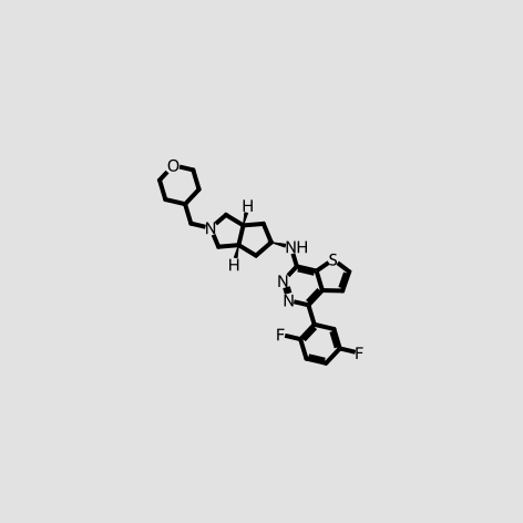 Fc1ccc(F)c(-c2nnc(N[C@H]3C[C@@H]4CN(CC5CCOCC5)C[C@@H]4C3)c3sccc23)c1